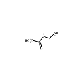 O=C(O)C(=O)OCO